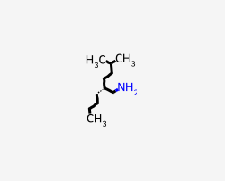 CCCC[C@@H](CN)CCC(C)C